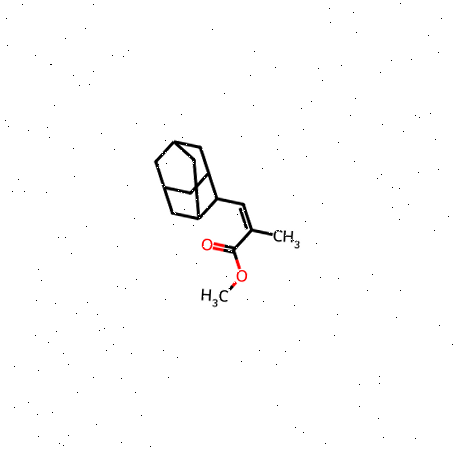 COC(=O)C(C)=CC1C2CC3CC(C2)CC1C3